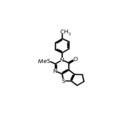 CSc1nc2sc3c(c2c(=O)n1-c1ccc(C)cc1)CCC3